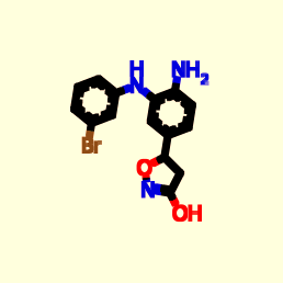 Nc1ccc(C2CC(O)=NO2)cc1Nc1cccc(Br)c1